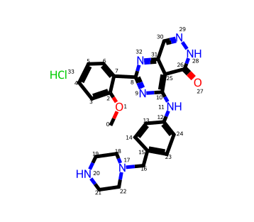 COc1ccccc1-c1nc(Nc2ccc(CN3CCNCC3)cc2)c2c(=O)[nH]ncc2n1.Cl